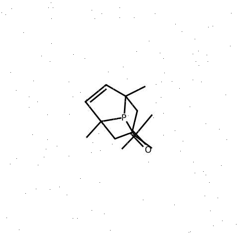 CC(C)(C)P1C2(C)C=CC1(C)CC(=O)C2